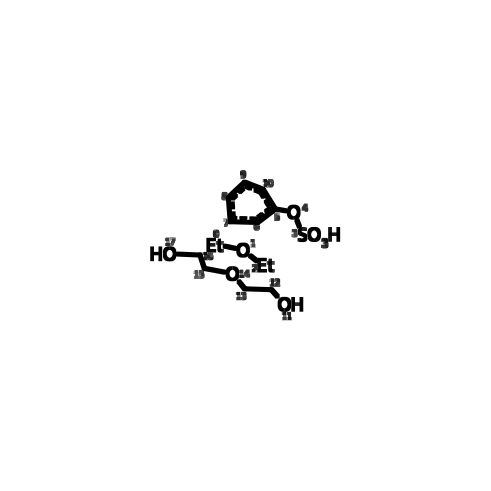 CCOCC.O=S(=O)(O)Oc1ccccc1.OCCOCCO